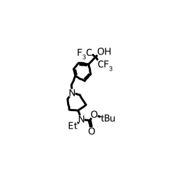 CCN(C(=O)OC(C)(C)C)C1CCN(Cc2ccc(C(O)(C(F)(F)F)C(F)(F)F)cc2)CC1